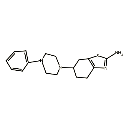 Nc1nc2c(s1)CC(N1CCN(c3ccccc3)CC1)CC2